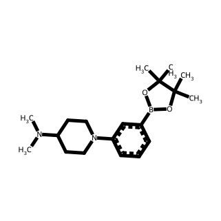 CN(C)C1CCN(c2cccc(B3OC(C)(C)C(C)(C)O3)c2)CC1